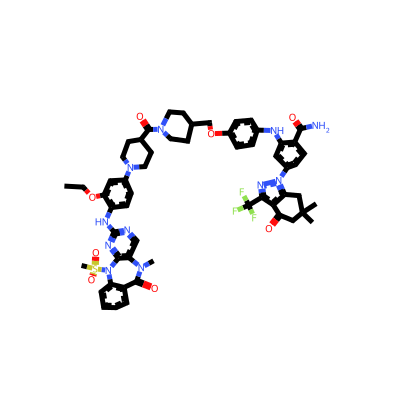 CCOc1cc(N2CCC(C(=O)N3CCC(COc4ccc(Nc5cc(-n6nc(C(F)(F)F)c7c6CC(C)(C)CC7=O)ccc5C(N)=O)cc4)CC3)CC2)ccc1Nc1ncc2c(n1)N(S(C)(=O)=O)c1ccccc1C(=O)N2C